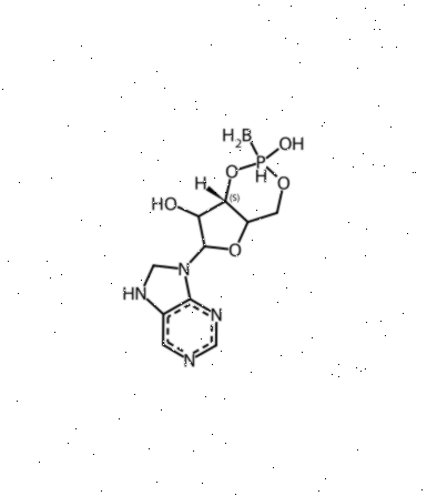 B[PH]1(O)OCC2OC(N3CNc4cncnc43)C(O)[C@@H]2O1